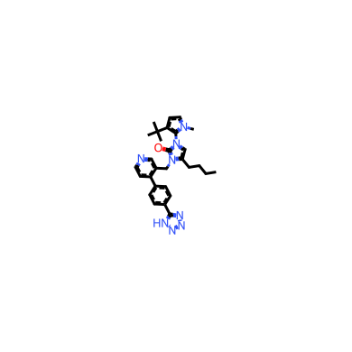 CCCCc1cn(-c2c(C(C)(C)C)ccn2C)c(=O)n1Cc1cnccc1-c1ccc(-c2nnn[nH]2)cc1